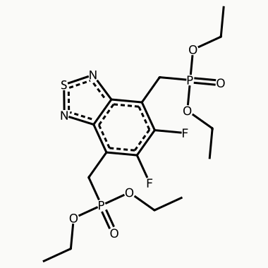 CCOP(=O)(Cc1c(F)c(F)c(CP(=O)(OCC)OCC)c2nsnc12)OCC